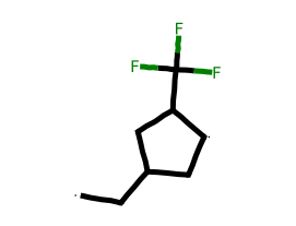 [CH2]CC1C[CH]C(C(F)(F)F)C1